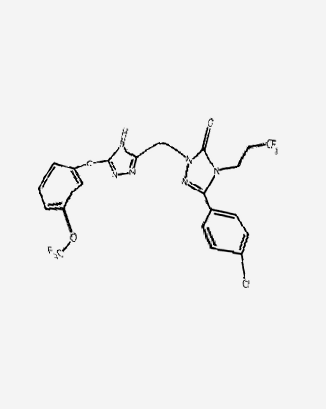 O=c1n(Cc2nnc(Cc3cccc(OC(F)(F)F)c3)[nH]2)nc(-c2ccc(Cl)cc2)n1CCC(F)(F)F